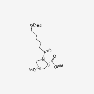 CCCCCCCCCCCCCCCC(=O)N1C[C@@H](O)C[C@H]1C(=O)OC